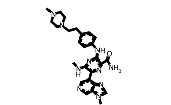 CNc1nc(Nc2ccc(CCN3CCN(C)CC3)cc2)c(C(N)=O)nc1-c1cncc2c1ncn2C